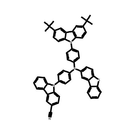 CC(C)(C)c1ccc2c(c1)c1cc(C(C)(C)C)ccc1n2-c1ccc(N(c2ccc(-n3c4ccccc4c4cc(C#N)ccc43)cc2)c2ccc3sc4ccccc4c3c2)cc1